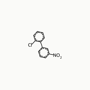 O=[N+]([O-])c1cccc(-c2ccccc2Cl)c1